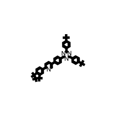 CC(C)(C)c1ccc(-c2nc(-c3ccc(-c4ccc(-c5ccc6c(c5)C(C)(C)C(C)(C)C6(C)C)nc4)cc3)nc(-c3ccc(C(C)(C)C)cc3)n2)cc1